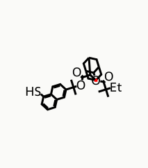 CCC(C)(C)C(=O)OC1C2CC3CC1CC(C2)C3C(=O)OC(C)(C)c1ccc2c(S)cccc2c1